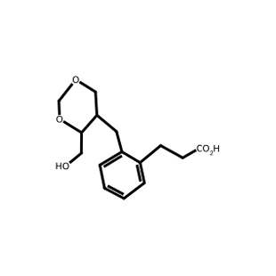 O=C(O)CCc1ccccc1CC1COCOC1CO